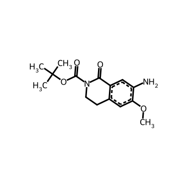 COc1cc2c(cc1N)C(=O)N(C(=O)OC(C)(C)C)CC2